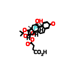 CC1(C)O[C@@H]2C[C@H]3[C@@H]4CCC5=CC(=O)C=C[C@]5(C)[C@@]4(F)[C@@H](O)C[C@]3(C)[C@]2(C(=O)COC(=O)CCC(=O)O)O1